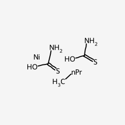 CCCC.NC(O)=S.NC(O)=S.[Ni]